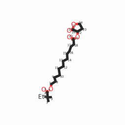 CCC(C)(C)C(=O)OCCCCCCCCCCCCC(=O)OC1CCOC1=O